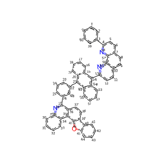 c1ccc(-c2ccc3ccc4ccc(-c5c6ccccc6c(-c6cccc(-c7nc8ccccc8c8c7ccc7c9ccccc9oc78)c6)c6ccccc56)nc4c3n2)cc1